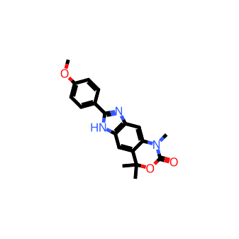 COc1ccc(-c2nc3cc4c(cc3[nH]2)C(C)(C)OC(=O)N4C)cc1